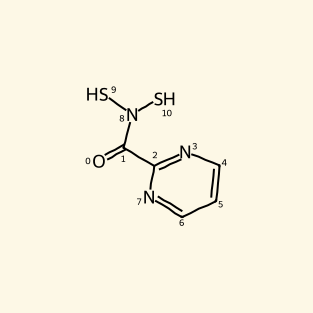 O=C(c1ncccn1)N(S)S